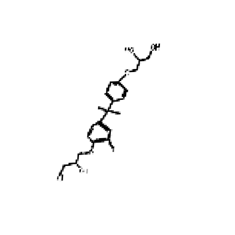 CC(C)(c1ccc(OCC(O)CO)cc1)c1ccc(OCC(O)CCl)c(I)c1